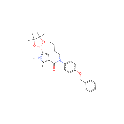 CCCCN(C(=O)c1cc(B2OC(C)(C)C(C)(C)O2)n(C)c1C)c1ccc(OCc2ccccc2)cc1